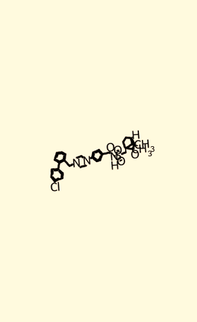 CC1(C)[C@@H]2CC[C@@]1(CS(=O)(=O)NC(=O)c1ccc(N3CCN(Cc4ccccc4-c4ccc(Cl)cc4)CC3)cc1)C(=O)C2